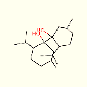 CC1CCC(C(C)C)C(O)(C2(O)CC(C)CCC2C(C)C)C1